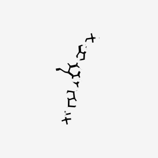 C=CCc1c(Cl)c(N2Cc3cn(CC(C)(C)O)nc3C2)nc2nc(O[C@@H]3CO[C@H]4[C@@H]3OC[C@H]4O[Si](C)(C)C(C)(C)C)[nH]c12